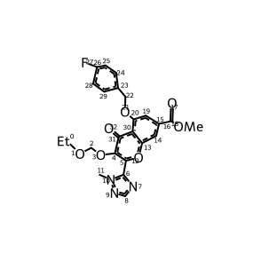 CCOCOc1c(-c2ncnn2C)oc2cc(C(=O)OC)cc(OCc3ccc(F)cc3)c2c1=O